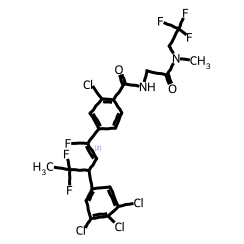 CN(CC(F)(F)F)C(=O)CNC(=O)c1ccc(/C(F)=C/C(c2cc(Cl)c(Cl)c(Cl)c2)C(C)(F)F)cc1Cl